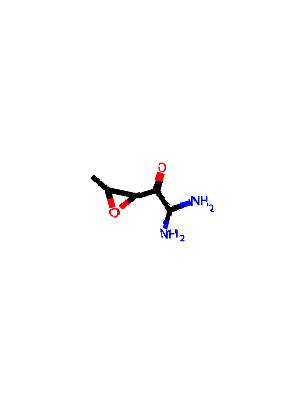 CC1OC1C(=O)C(N)N